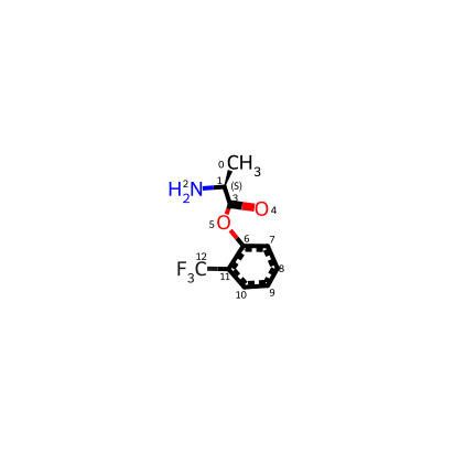 C[C@H](N)C(=O)Oc1ccccc1C(F)(F)F